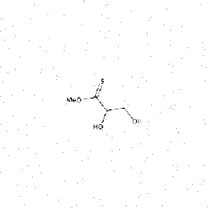 COC(=S)C(O)CO